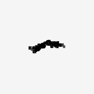 Cc1nc(Oc2cccc(C=C3CCC(NC(=O)c4cnc(N)nc4)CC3)c2)ccc1Cl